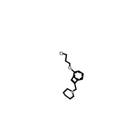 ClCCCOc1cccc2c1C=C2CN1CCCCC1